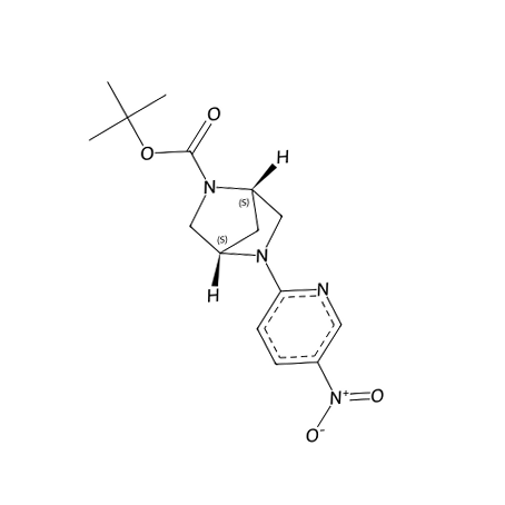 CC(C)(C)OC(=O)N1C[C@@H]2C[C@H]1CN2c1ccc([N+](=O)[O-])cn1